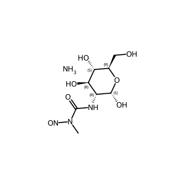 CN(N=O)C(=O)N[C@@H]1[C@@H](O)[C@H](O)[C@@H](CO)O[C@@H]1O.N